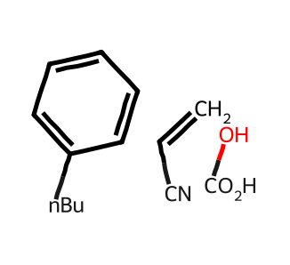 C=CC#N.CCCCc1ccccc1.O=C(O)O